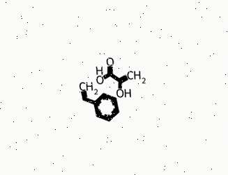 C=C(O)C(=O)O.C=Cc1ccccc1